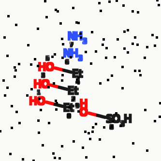 CCO.CCO.CCO.N.N.O=S(=O)(O)O